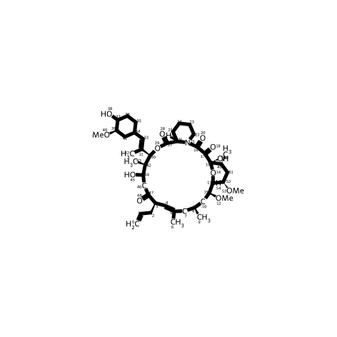 C=CC[C@@H]1/C=C(\C)C[C@H](C)C[C@H](OC)[C@H]2O[C@@](O)(C(=O)C(=O)N3CCCC[C@H]3C(=O)O[C@H](/C(C)=C/C3CCC(O)[C@H](OC)C3)[C@H](C)C(O)CC1=O)[C@H](C)C[C@@H]2OC